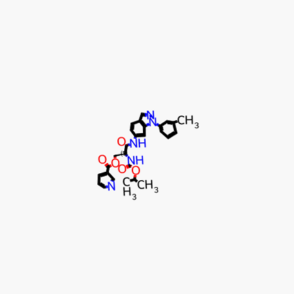 Cc1cccc(-n2ncc3ccc(NC(=O)[C@H](COC(=O)c4cccnc4)NC(=O)OC(C)C)cc32)c1